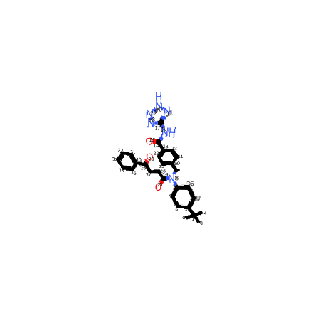 CC(C)(C)C1CCC(N(Cc2ccc(C(=O)Nc3nn[nH]n3)cc2)C(=O)CCC(=O)c2ccccc2)CC1